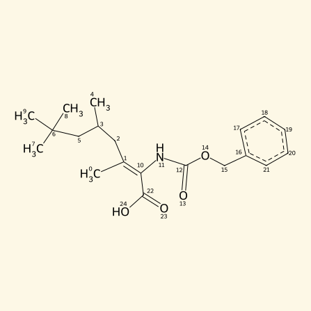 CC(CC(C)CC(C)(C)C)=C(NC(=O)OCc1ccccc1)C(=O)O